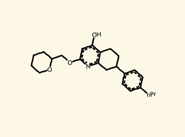 CCCc1ccc(C2CCc3c(O)cc(OCC4CCCCO4)nc3C2)cc1